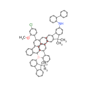 COc1cc(Cl)ccc1-c1cc2c3ccccc3c(B(c3ccccc3-c3cccc(-c4ccc5c(c4)C(C)(C)c4ccc(Nc6ccccc6-c6ccccc6)cc4-5)c3)c3cccc4c3C(C)(C)c3ccccc3-4)cc2c2ccccc12